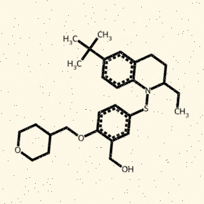 CCC1CCc2cc(C(C)(C)C)ccc2N1Sc1ccc(OCC2CCOCC2)c(CO)c1